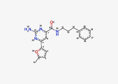 Cc1ccc(-c2cc(C(=O)NCCCc3ccccc3)nc(N)n2)o1